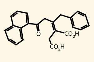 O=C(O)CC(C(=O)O)=C(CC(=O)c1cccc2ccccc12)Cc1ccccc1